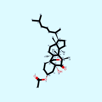 CC(=O)O[C@@H]1CC[C@@]23CO[C@@H](C(=O)[C@@]2(O)C1)[C@H]1[C@@H]2CC[C@H](C(C)CCCC(C)C)[C@@]2(C)CC[C@@H]13